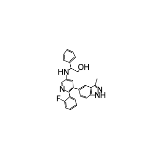 Cc1n[nH]c2ccc(-c3cc(NC(CO)c4ccccc4)cnc3-c3ccccc3F)cc12